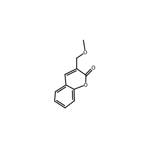 COCc1cc2ccccc2oc1=O